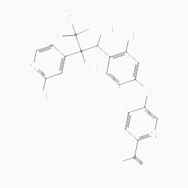 CC(c1ccc(Oc2ccc(C(=O)O)nc2)cc1Cl)C(O)(c1ccnc(Cl)c1)C(F)(F)F